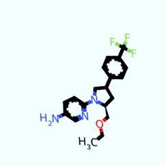 CCOC[C@@H]1CC(c2ccc(C(F)(F)F)cc2)CN1c1ccc(N)cn1